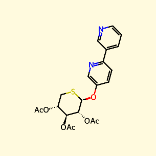 CC(=O)O[C@@H]1[C@@H](OC(C)=O)[C@H](OC(C)=O)CS[C@H]1Oc1ccc(-c2cccnc2)nc1